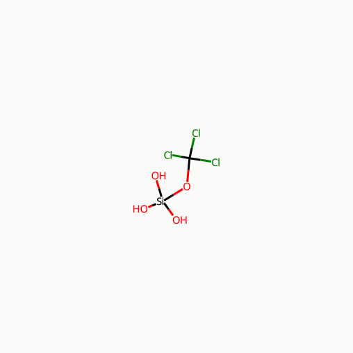 O[Si](O)(O)OC(Cl)(Cl)Cl